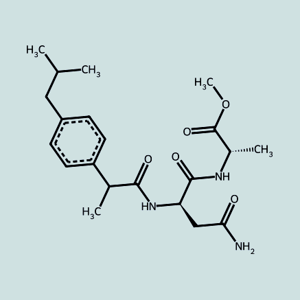 COC(=O)[C@H](C)NC(=O)[C@@H](CC(N)=O)NC(=O)C(C)c1ccc(CC(C)C)cc1